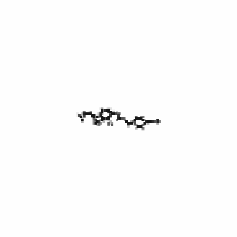 N#CC1CCN(CCCOc2ccc3c(nnn3CC3CC3)c2Br)CC1